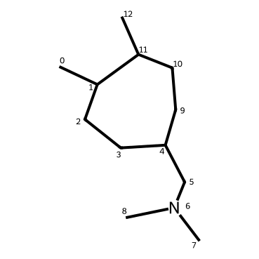 CC1CCC(CN(C)C)CCC1C